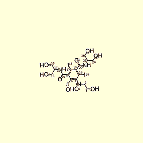 O=CN(CCO)c1c(I)c(C(=O)NC(CO)CO)c(I)c(C(=O)NC(CO)CO)c1I